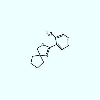 Nc1ccccc1C1=NC2(CCCC2)CO1